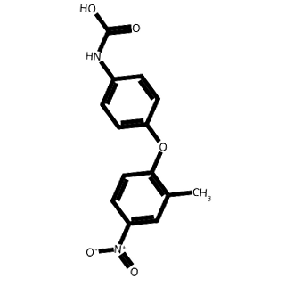 Cc1cc([N+](=O)[O-])ccc1Oc1ccc(NC(=O)O)cc1